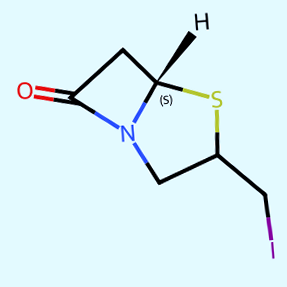 O=C1C[C@@H]2SC(CI)CN12